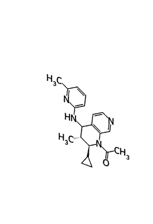 CC(=O)N1c2cnccc2C(Nc2cccc(C)n2)[C@@H](C)[C@@H]1C1CC1